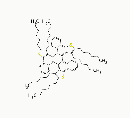 CCCCCCc1sc2c3ccccc3c3c(c2c1CCCCCC)c1c2ccccc2c2sc(CCCCCC)c(CCCCCC)c2c1c1c2ccccc2c2sc(CCCCCC)c(CCCCCC)c2c31